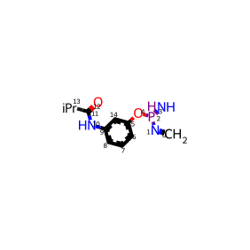 C=N[PH](=N)Oc1cccc(NC(=O)C(C)C)c1